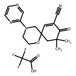 CC1(C)CC2(C=C(C#N)C1=O)CN(c1cnccn1)CCO2.O=C(O)C(F)(F)F